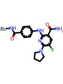 CC(C)(C)NC(=O)c1ccc(Nc2nc(N3CCCC3)c(F)cc2C(N)=O)cc1